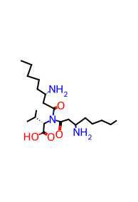 CCCCCC(N)CC(=O)N(C(=O)C[C@@H](N)CCCCC)[C@H](C(=O)O)C(C)C